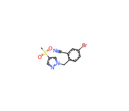 CS(=O)(=O)c1cnn(Cc2ccc(Br)cc2C#N)c1